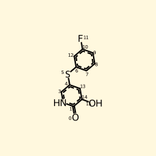 O=c1[nH]cc(Sc2cccc(F)c2)cc1O